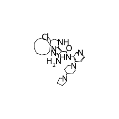 Nc1nn2c(c1C(=O)Nc1cnccc1N1CCC(N3CCCC3)CC1)NCC(Cl)C21CCCCCCCCC1